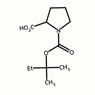 CCC(C)(C)OC(=O)N1CCCC1C(=O)O